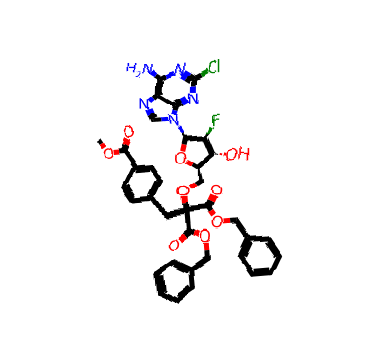 COC(=O)c1ccc(CC(OC[C@H]2O[C@@H](n3cnc4c(N)nc(Cl)nc43)[C@@H](F)[C@@H]2O)(C(=O)OCc2ccccc2)C(=O)OCc2ccccc2)cc1